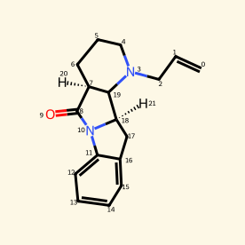 C=CCN1CCC[C@@H]2C(=O)N3c4ccccc4C[C@@H]3C21